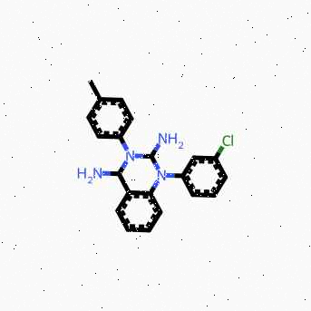 Cc1ccc(N2C(N)c3ccccc3N(c3cccc(Cl)c3)C2N)cc1